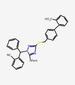 CCCCCc1nc(SCc2ccc(-c3ccccc3C(=O)O)cc2)nn1C(c1ccccc1)c1ccccc1C#N